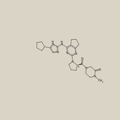 CN1CCN(C(=O)[C@H]2CCCN2c2nc3c(c(Nc4ncc(C5CCCC5)[nH]4)n2)CCC3)CC1=O